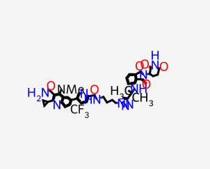 CNc1c(C(N)=O)c(C2CC2)nc2cc(C(F)(F)F)c(-c3ccc(C(=O)NCCCCn4cc(C(C)(C)Nc5cccc6c5C(=O)N(C5CCC(=O)NC5=O)C6=O)nn4)nc3)cc12